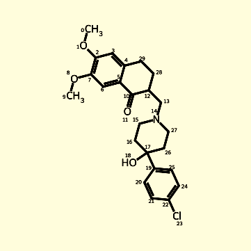 COc1cc2c(cc1OC)C(=O)C(CN1CCC(O)(c3ccc(Cl)cc3)CC1)CC2